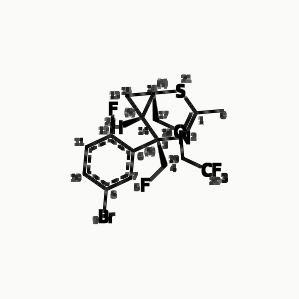 CC1=N[C@](CF)(c2cc(Br)ccc2F)[C@@H]2C[C@]2(COCC(F)(F)F)S1